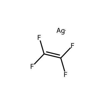 FC(F)=C(F)F.[Ag]